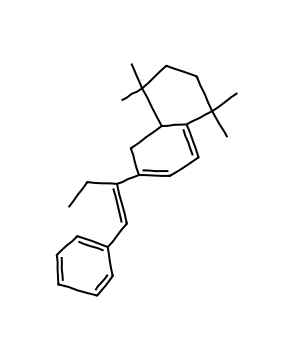 CC/C(=C\c1ccccc1)C1=CC=C2C(C1)C(C)(C)CCC2(C)C